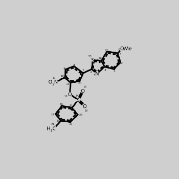 COc1ccc2nc(-c3ccc([N+](=O)[O-])c(OS(=O)(=O)c4ccc(C)cc4)c3)sc2c1